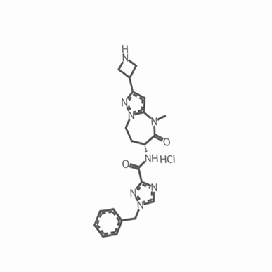 CN1C(=O)[C@H](NC(=O)c2ncn(Cc3ccccc3)n2)CCn2nc(C3CNC3)cc21.Cl